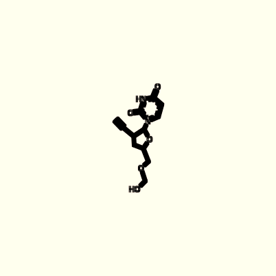 C#CC1CC(COCO)OC1n1ccc(=O)[nH]c1=O